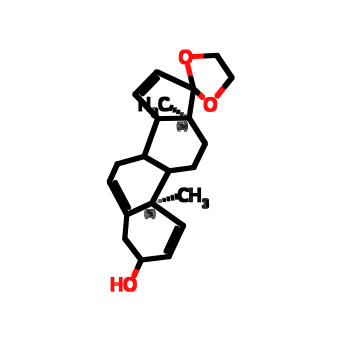 C[C@]12C=CC(O)CC1=CCC1C2CC[C@@]2(C)C1C=CC21OCCO1